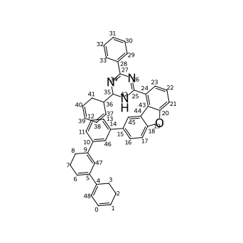 C1=CCCC(C2=CCCC(c3cccc(-c4ccc5oc6cccc(C7=NC(c8ccccc8)=NC(C8C=CC=CC8)N7)c6c5c4)c3)=C2)=C1